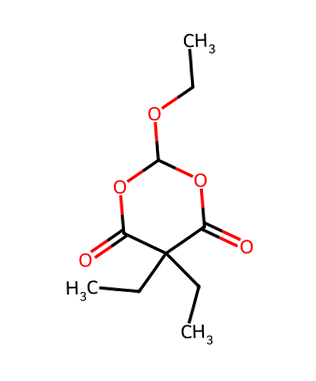 CCOC1OC(=O)C(CC)(CC)C(=O)O1